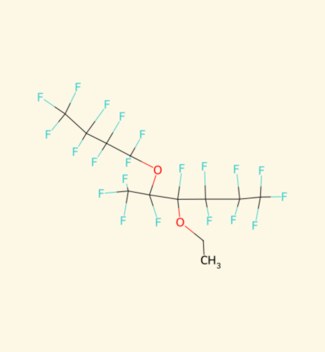 CCOC(F)(C(F)(F)C(F)(F)C(F)(F)F)C(F)(OC(F)(F)C(F)(F)C(F)(F)C(F)(F)F)C(F)(F)F